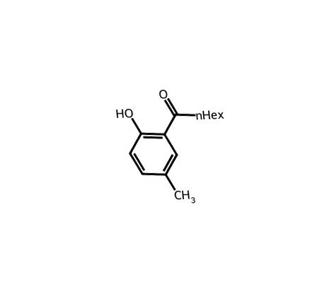 CCCCCCC(=O)c1cc(C)ccc1O